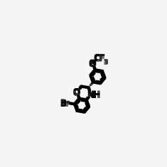 FC(F)(F)Oc1cccc([C@H]2COc3c(Br)cccc3N2)c1